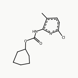 Cc1ccc(Cl)nc1NC(=O)OC1CCCCC1